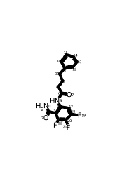 NC(=O)c1c(NC(=O)[CH]CCc2ccccc2)cc(F)c(F)c1F